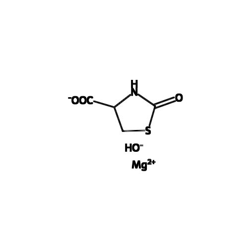 O=C1NC(C(=O)[O-])CS1.[Mg+2].[OH-]